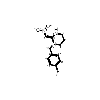 O=[N+]([O-])C=C1NCCCN1Cc1ccc(F)cc1